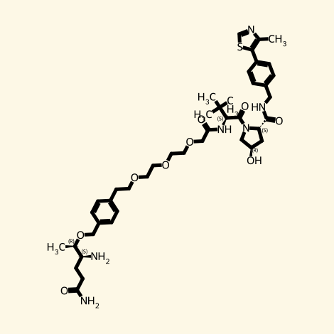 Cc1ncsc1-c1ccc(CNC(=O)[C@@H]2C[C@@H](O)CN2C(=O)[C@@H](NC(=O)COCCOCCOCCc2ccc(CO[C@H](C)[C@@H](N)CCC(N)=O)cc2)C(C)(C)C)cc1